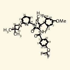 COc1cc(F)c(-c2c(NC(=O)c3ccc(OC(F)F)cc3)c(=O)n(-c3cccc(N4CC(C)(C)C4)n3)n2C)c(F)c1